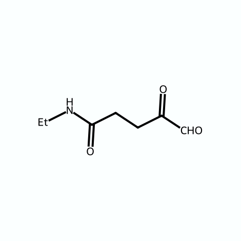 CCNC(=O)CCC(=O)C=O